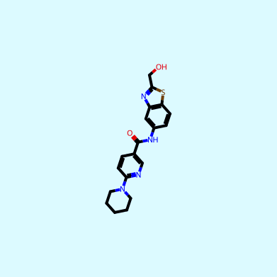 O=C(Nc1ccc2sc(CO)nc2c1)c1ccc(N2CCCCC2)nc1